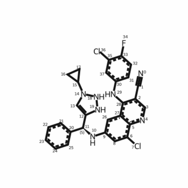 N#Cc1cnc2c(Cl)cc(N[C@H](C3=CN(C4CC4)NN3)c3ccccc3)cc2c1Nc1ccc(F)c(Cl)c1